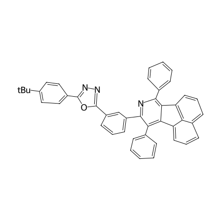 CC(C)(C)c1ccc(-c2nnc(-c3cccc(-c4nc(-c5ccccc5)c5c(c4-c4ccccc4)-c4cccc6cccc-5c46)c3)o2)cc1